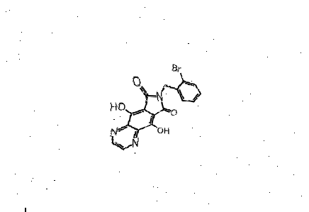 O=C1c2c(c(O)c3nccnc3c2O)C(=O)N1Cc1ccccc1Br